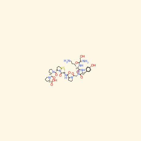 NCCCC[C@H](NC(=O)[C@@H](N)CO)C(=O)N[C@@H](Cc1ccc(O)cc1)C(=O)NCC(=O)N1CCC[C@H]1C(=O)N[C@@H](CS)C(=O)N1CCC[C@H]1C(=O)N1CCC[C@H]1C(=O)N1CCC[C@H]1C(=O)O